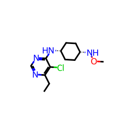 CCc1ncnc(N[C@H]2CC[C@@H](NOC)CC2)c1Cl